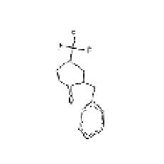 O=C1CCC(C(F)(F)F)CC1Cc1ccccc1